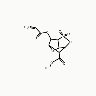 C=CC(=O)OC1C2OC3C(OS(=O)(=O)C13)C2C(=O)OC